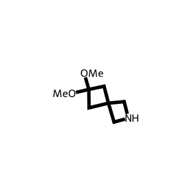 COC1(OC)CC2(CNC2)C1